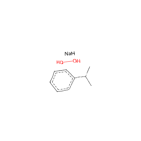 CC(C)c1ccccc1.OO.[NaH]